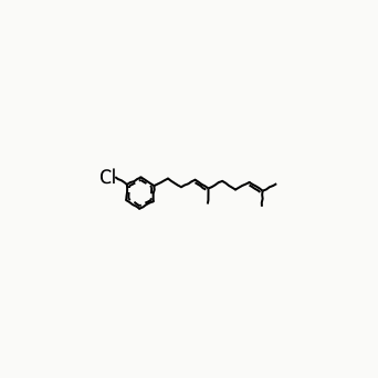 CC(C)=CCC/C(C)=C/CCc1cccc(Cl)c1